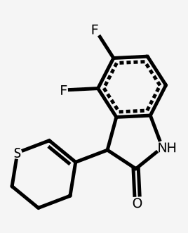 O=C1Nc2ccc(F)c(F)c2C1C1=CSCCC1